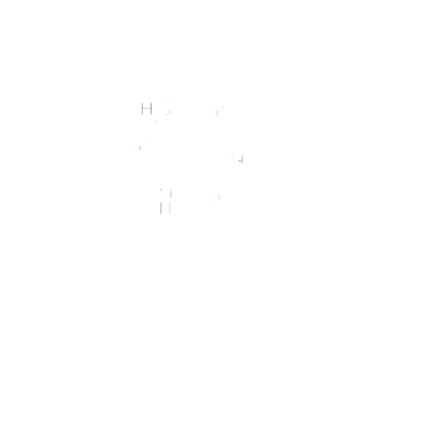 CCC=C[SiH]1O[SiH2]O[Si](C=CCC)(C=CCC)O1